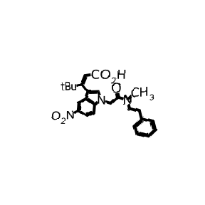 CN(CCc1ccccc1)C(=O)Cn1cc(/C(=C\C(=O)O)C(C)(C)C)c2cc([N+](=O)[O-])ccc21